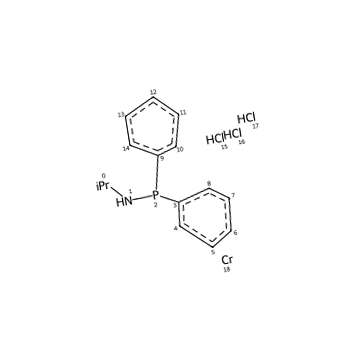 CC(C)NP(c1ccccc1)c1ccccc1.Cl.Cl.Cl.[Cr]